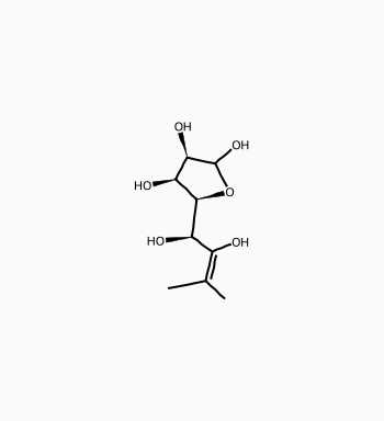 CC(C)=C(O)[C@@H](O)[C@@H]1OC(O)[C@H](O)[C@@H]1O